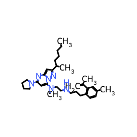 C=C(C)c1cc(C)ccc1CCCNCCN(C)c1cc(N2CCCC2)nc2cc(C(C)CCCCC)nn12